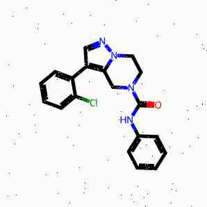 O=C(Nc1ccccc1)N1CCn2ncc(-c3ccccc3Cl)c2C1